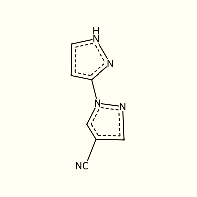 N#Cc1cnn(-c2cc[nH]n2)c1